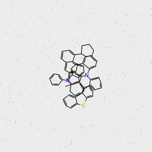 CC12CC=CC(c3ccccc3N(c3ccccc3-c3cccc4cccc(C5CCCCC5)c34)c3ccccc3-c3cccc4sc5ccccc5c34)=C1c1ccccc1N2c1ccccc1